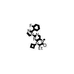 CC[C@@H]1C(=O)N(C)c2cnc(-n3ccnc3-c3ccccc3F)nc2N1C1CCC1